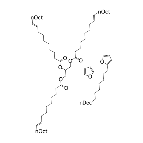 CCCCCCCC/C=C/CCCCCCCC(=O)OCC(COC(=O)CCCCCCC/C=C/CCCCCCCC)OC(=O)CCCCCCC/C=C/CCCCCCCC.CCCCCCCCCCCCCCCCCc1ccco1.c1ccoc1